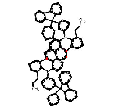 CCCc1cccc(CCC)c1N(c1cccc(C2(c3ccccc3)c3ccccc3-c3ccccc32)c1)c1ccc2ccc3c(N(c4cccc(C5(c6ccccc6)c6ccccc6-c6ccccc65)c4)c4c(CCC)cccc4CCC)ccc4ccc1c2c43